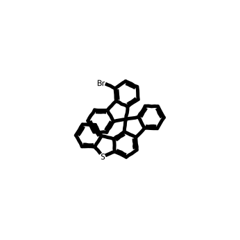 Brc1cccc2c1-c1ccccc1C21c2ccccc2-c2ccc3sc4ccccc4c3c21